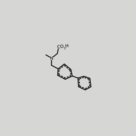 CN(CC(=O)O)Cc1ccc(-c2ccccc2)cc1